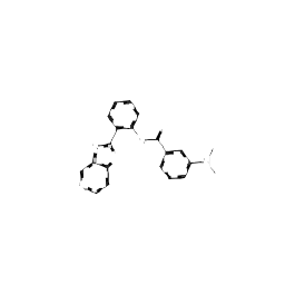 CN(C)c1cccc(C(=O)Nc2ccccc2-c2nc3cnccc3o2)c1